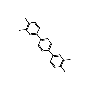 Cc1ccc(-c2ccc(-c3ccc(C)c(C)c3)cc2)cc1C